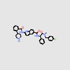 CN(Cc1ccc(F)cc1)C(=O)C(NC(=O)c1ccc2nc(NC(=O)c3ccccc3C3CCNCC3)ccc2c1)c1ccccc1